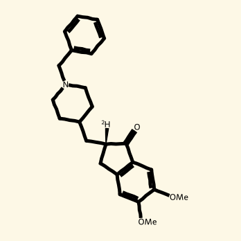 [2H][C@]1(CC2CCN(Cc3ccccc3)CC2)Cc2cc(OC)c(OC)cc2C1=O